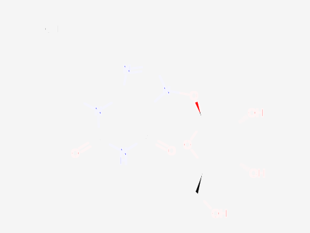 CCCCn1c(=O)[nH]c(=O)c2c1nc(Cc1ccccc1)n2O[C@@H]1O[C@H](CO)[C@@H](O)[C@H]1O